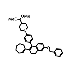 COC(OC)C1CCN(c2ccc(C3=C(C4=CCCCCC4)CCc4cc(OCc5ccccc5)ccc43)cc2)CC1